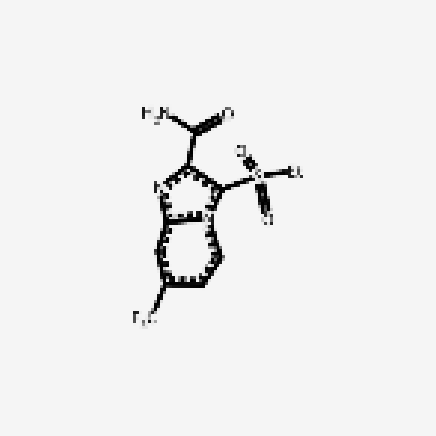 CCS(=O)(=O)c1c(C(N)=O)nc2cc(C(F)(F)F)ccn12